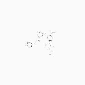 CC(=O)N[C@@H]1CCCN(c2nnc(C(N)=O)c(Nc3cccc(C(=O)OCc4ccccc4)c3)n2)[C@@H]1C